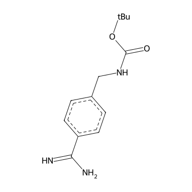 CC(C)(C)OC(=O)NCc1ccc(C(=N)N)cc1